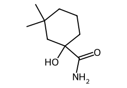 CC1(C)CCCC(O)(C(N)=O)C1